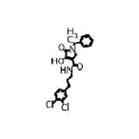 C[C@H](c1ccccc1)N1CC(C(=O)NCCCc2ccc(Cl)c(Cl)c2)=C(O)C1=O